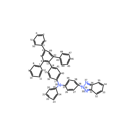 c1ccc(-c2cc(-c3ccccc3)c(-c3ccc(N(c4ccccc4)c4ccc(-n5nc6ccccc6n5)cc4)cc3)c(-c3ccccc3)c2)cc1